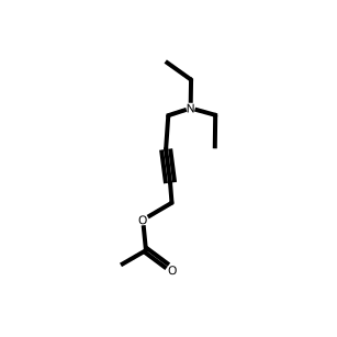 CCN(CC)CC#CCOC(C)=O